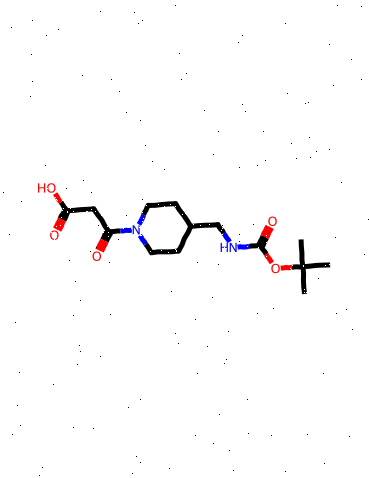 CC(C)(C)OC(=O)NCC1CCN(C(=O)CC(=O)O)CC1